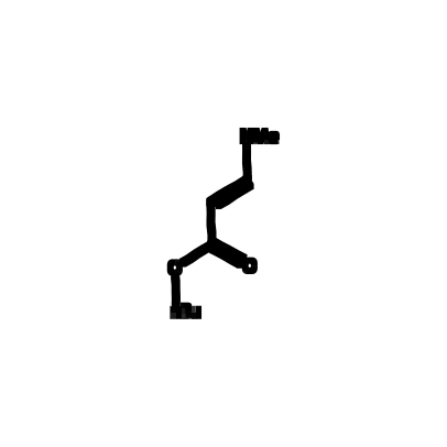 CCCCOC(=O)C=CNC